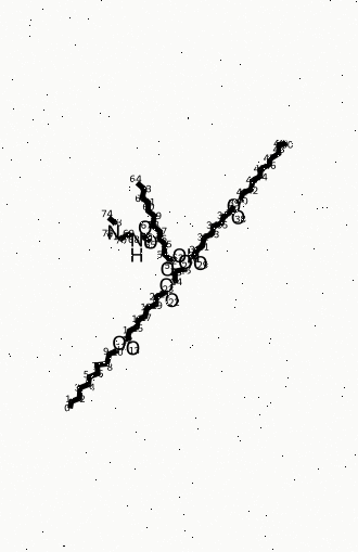 CCCCCCCCCCCOC(=O)CCCCCCCC(=O)OCC(COC(=O)CCCCCCCC(=O)OCCCCCCCCCCC)OC(O)CCC(CCCCCCCC)OC(=O)NCCN(C)CC